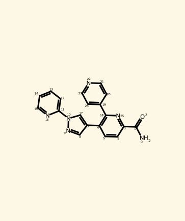 NC(=O)c1ccc(-c2cnn(-c3ccccn3)c2)c(-c2ccncc2)n1